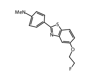 CNc1ccc(-c2nc3cc(OCCF)ccc3s2)cc1